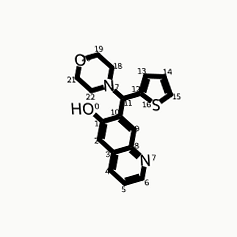 Oc1cc2cccnc2cc1C(c1cccs1)N1CCOCC1